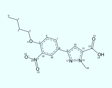 CCCCOc1ccc(-c2cc(C(=O)O)n(C)n2)cc1[N+](=O)[O-]